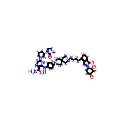 CN1CCN([C@@H]2CCCN(c3cnc(C(N)=O)c(Nc4ccc(N5CCC6(CCN(CCCCc7cccc8c7CN(C7CCC(=O)CC7=O)C8=O)CC6)CC5)cc4)n3)C2)C1=O